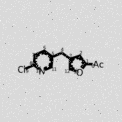 CC(=O)c1cc(Cc2ccc(Cl)nc2)co1